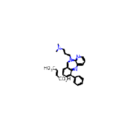 CN(C)CCCN1C=c2cccc(-c3ccccc3)c2=Nc2cccnc21.O=C(O)C=CC(=O)O